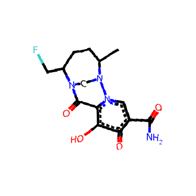 CC1CCC(CF)N2CN1n1cc(C(N)=O)c(=O)c(O)c1C2=O